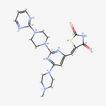 CN1CCN(c2cc(/C=C3\SC(=O)NC3=O)nc(N3CCN(c4ncccn4)CC3)n2)CC1